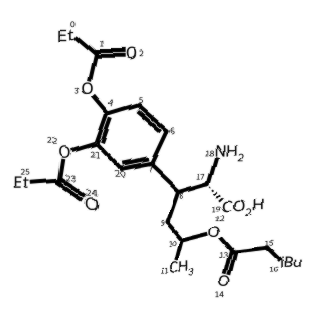 CCC(=O)Oc1ccc(C(CC(C)OC(=O)CC(C)CC)[C@H](N)C(=O)O)cc1OC(=O)CC